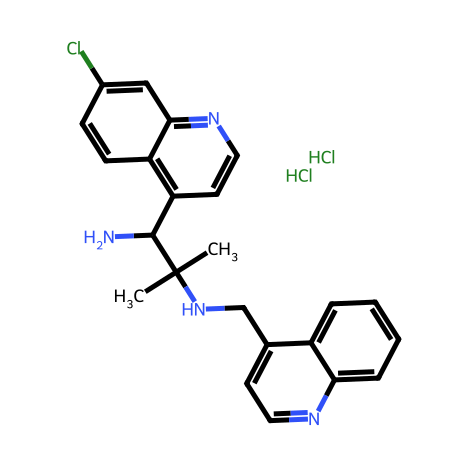 CC(C)(NCc1ccnc2ccccc12)C(N)c1ccnc2cc(Cl)ccc12.Cl.Cl